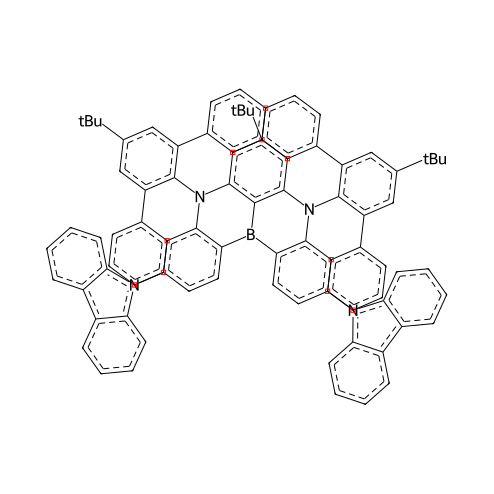 CC(C)(C)c1cc(-c2ccccc2)c(N2c3cc(-n4c5ccccc5c5ccccc54)ccc3B3c4ccc(-n5c6ccccc6c6ccccc65)cc4N(c4c(-c5ccccc5)cc(C(C)(C)C)cc4-c4ccccc4)c4cc(C(C)(C)C)cc2c43)c(-c2ccccc2)c1